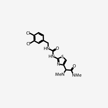 CNC(=O)C(NC)c1csc(NC(=O)NCc2ccc(Cl)c(Cl)c2)n1